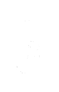 CCCCCCCCC/C=C\CC/C=C/[C@@H](O)[C@H](CO)NC(=O)CCCCCCCCCCCCCCC